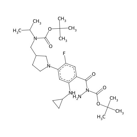 CC(C)N(CC1CCN(c2cc(NC3CC3)c(C(=O)N(N)C(=O)OC(C)(C)C)cc2F)C1)C(=O)OC(C)(C)C